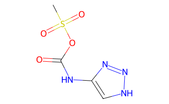 CS(=O)(=O)OC(=O)Nc1c[nH]nn1